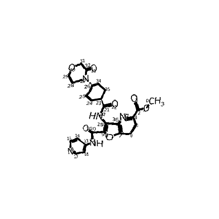 COC(=O)c1ccc2oc(C(=O)Nc3ccncc3)c(NC(=O)[C@H]3CC[C@H](N4CCOCC4=O)CC3)c2n1